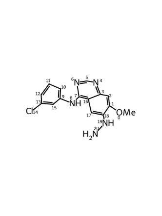 COc1cc2ncnc(Nc3cccc(Cl)c3)c2cc1NN